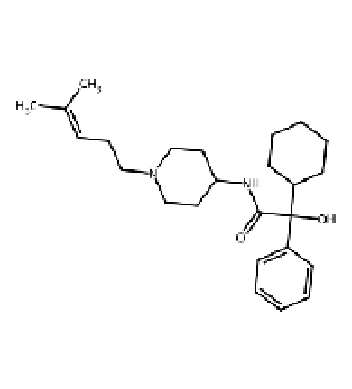 CC(C)=CCCN1CCC(NC(=O)C(O)(c2ccccc2)C2CCCCC2)CC1